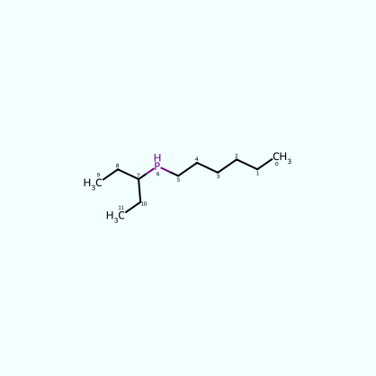 CCCCCCPC(CC)CC